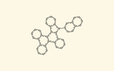 c1ccc2cc(-n3c4ccccc4c4c5c6ccccc6c6ccccc6c5c5ccccc5c43)ccc2c1